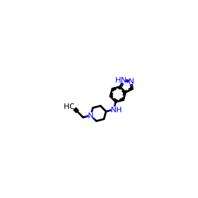 C#CCN1CCC(Nc2ccc3[nH]ncc3c2)CC1